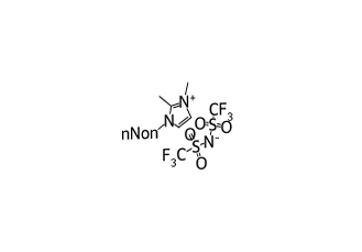 CCCCCCCCCn1cc[n+](C)c1C.O=S(=O)([N-]S(=O)(=O)C(F)(F)F)C(F)(F)F